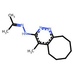 CC(C)=NNc1nnc2c(c1C)CCCCCC2